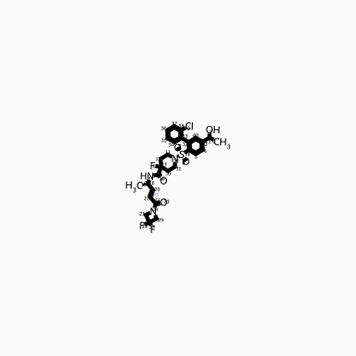 CC(O)c1ccc(S(=O)(=O)N2CCC(F)(C(=O)N[C@H](C)/C=C/C(=O)N3CC(F)(F)C3)CC2)c(-c2ccccc2Cl)c1